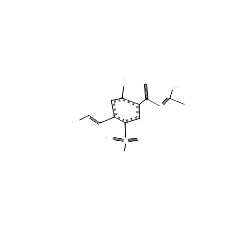 CCCCC=Cc1cc(CC)c(C(=O)N=C(N)N)cc1S(C)(=O)=O